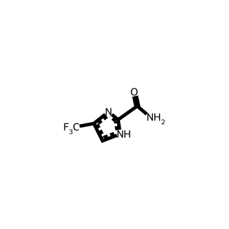 NC(=O)c1nc(C(F)(F)F)c[nH]1